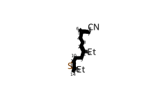 CCC(=CCCC(C)=CC#N)CCC1SC1(C)CC